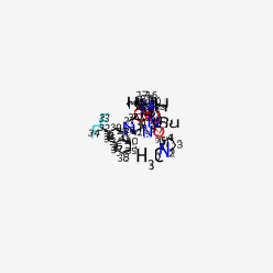 CN1CCC[C@H]1COc1nc2c(c(N3C[C@H]4CC[C@@H](C3)N4C(=O)OC(C)(C)C)n1)CCN(c1cc(C(F)F)cc3ccccc13)C2